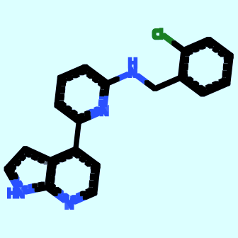 Clc1ccccc1CNc1cccc(-c2ccnc3[nH]ccc23)n1